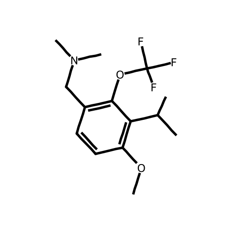 COc1ccc(CN(C)C)c(OC(F)(F)F)c1C(C)C